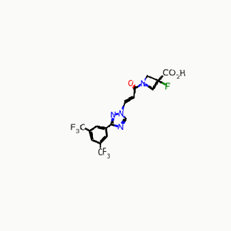 O=C(/C=C/n1cnc(-c2cc(C(F)(F)F)cc(C(F)(F)F)c2)n1)N1CC(F)(C(=O)O)C1